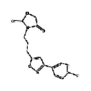 O=C1COC(=O)N1CCCc1cc(-c2ccc(Cl)cc2)no1